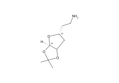 CC1(C)OC2C[C@@H](CCN)O[C@@H]2O1